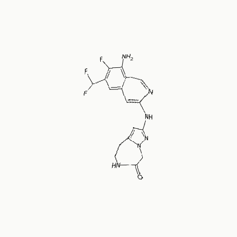 Nc1c(F)c(C(F)F)cc2cc(Nc3cc4n(n3)CC(=O)NCC4)ncc12